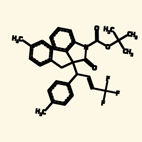 Cc1ccc(CC2(C(/C=C/C(F)(F)F)c3ccc(C)cc3)C(=O)N(C(=O)OC(C)(C)C)c3ccccc32)cc1